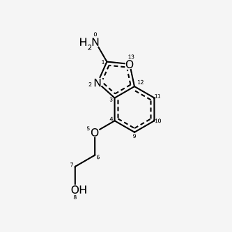 Nc1nc2c(OCCO)cccc2o1